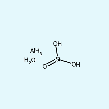 O.O=[Si](O)O.[AlH3]